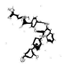 O=C(O)CCNC(=O)c1ccc(NC(Cc2ccccc2)C(=O)Nc2ccc(-c3ccc(Cl)cc3Cl)cc2)cc1